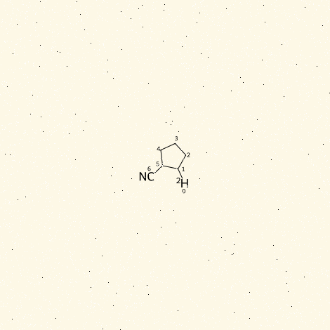 [2H]C1CCCC1C#N